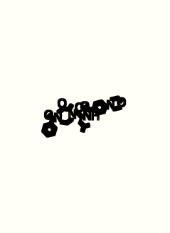 CC(C)C[C@H](NC(=O)c1ccc(N2CCOCC2)cc1)C(=O)N1CCCN(C(=O)c2ccccc2)CC(=O)C1C